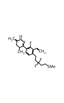 C=Cc1c(CCC(F)(F)CCSC)ccc(C2=NNC(=C)CC2C)c1F